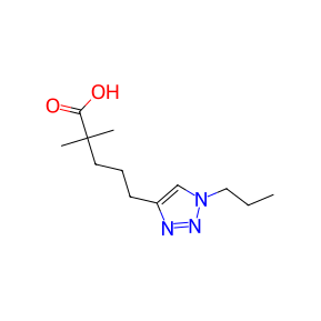 CCCn1cc(CCCC(C)(C)C(=O)O)nn1